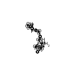 CCn1cc(C(=O)O)c(=O)c2cc(F)c(N3CCN(C(=O)OCc4ccc(NC(=O)[C@H](CCCNC(N)=O)N/C=C(\N)[C@@H](NC(=O)OCc5ccccc5)C(C)(C)C)cc4)CC3)cc21